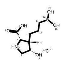 Cl.O=C(O)[C@H]1NC[C@@H](O)[C@@]1(F)CCCB(O)O